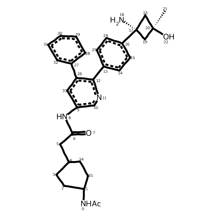 CC(=O)NC1CCC(CC(=O)Nc2cnc(-c3ccc([C@]4(N)C[C@](C)(O)C4)cc3)c(-c3ccccc3)c2)CC1